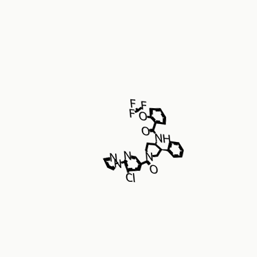 O=C(N[C@@H]1CCN(C(=O)c2cnc(-n3cccn3)c(Cl)c2)C[C@@H]1c1ccccc1)c1ccccc1OC(F)(F)F